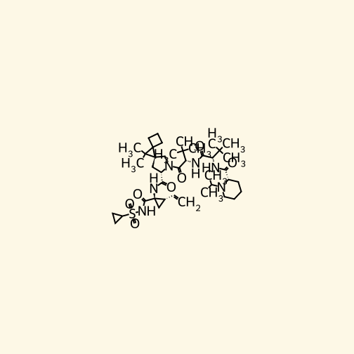 C=C[C@@H]1C[C@]1(NC(=O)[C@@H]1C[C@@]2(CN1C(=O)[C@@H](NC(=O)[C@@H](NC(=O)[C@@H]1CCCCN1C(C)C)C(C)(C)C)C(C)(C)C)C(C)(C)C21CCC1)C(=O)NS(=O)(=O)C1CC1